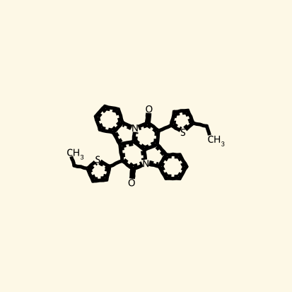 CCc1ccc(-c2c(=O)n3c4ccccc4c4c(-c5ccc(CC)s5)c(=O)n5c6ccccc6c2c5c43)s1